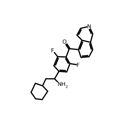 NC(CC1CCCCC1)c1cc(F)c(C(=O)c2cccc3cnccc23)c(F)c1